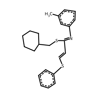 Cc1cccc(N=C(C=CSc2ccccc2)SCC2CCCCC2)c1